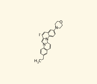 CCc1ccc2c(ccc3n4c(ccc5cc(N6CCOCC6)ccc54)c[n+]23)c1.[I-]